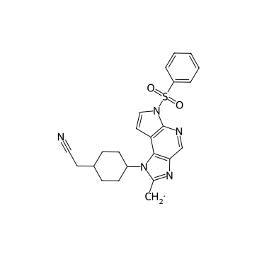 [CH2]c1nc2cnc3c(ccn3S(=O)(=O)c3ccccc3)c2n1C1CCC(CC#N)CC1